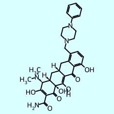 CN(C)[C@@H]1C(O)=C(C(N)=O)C(=O)[C@@]2(O)C(O)=C3C(=O)c4c(O)ccc(CN5CCN(c6ccccc6)CC5)c4C[C@H]3C[C@@H]12